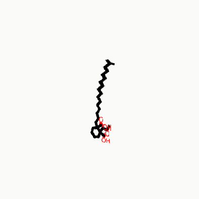 CCCC1(C(=O)O)CC=CCC1(CCCCCCCCCCCCCCCC(C)C)C(=O)O